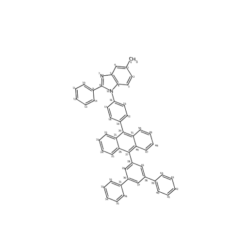 Cc1ccc2c(c1)nc(-c1ccccc1)n2-c1ccc(-c2c3ccccc3c(-c3cc(-c4ccccc4)cc(-c4ccccc4)c3)c3ccccc23)cc1